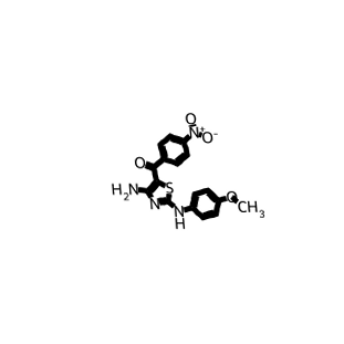 COc1ccc(Nc2nc(N)c(C(=O)c3ccc([N+](=O)[O-])cc3)s2)cc1